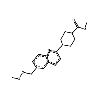 COOCc1ccc2nc(C3CCC(C(=O)OC)CC3)ccc2c1